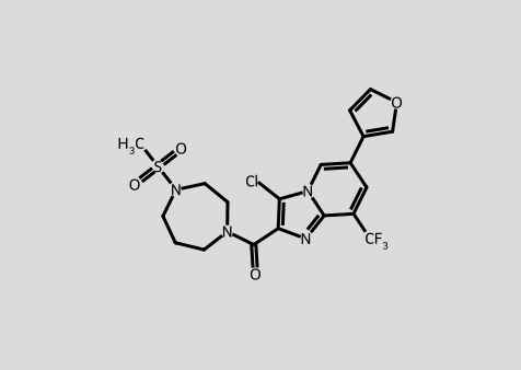 CS(=O)(=O)N1CCCN(C(=O)c2nc3c(C(F)(F)F)cc(-c4ccoc4)cn3c2Cl)CC1